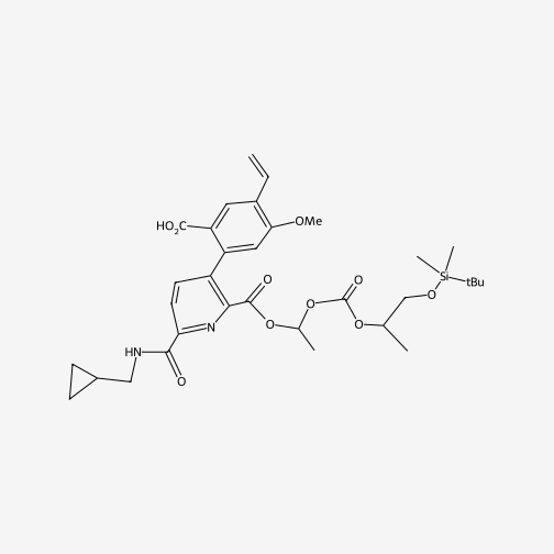 C=Cc1cc(C(=O)O)c(-c2ccc(C(=O)NCC3CC3)nc2C(=O)OC(C)OC(=O)OC(C)CO[Si](C)(C)C(C)(C)C)cc1OC